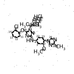 COc1cc(Nc2nc(Oc3ccccc3Cl)n(C(C)C)n2)ccc1-n1cnc(C)n1.Cl.Cl.Cl.Cl